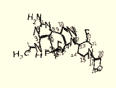 CCNc1nc(N)nc(-c2cnn(C3CCN(C4COC4)CC3F)c2Cl)c1C(F)(F)F